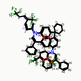 C=C(/C=C\C(=C/CC(F)(F)F)C(F)(F)F)N(C=C(c1ccccc1)c1ccccc1)c1ccc(C2(c3ccc(N(C=C(c4ccccc4)c4ccccc4)c4ccc(C(F)(F)F)cc4C(F)(F)F)cc3)CCCCC2)cc1